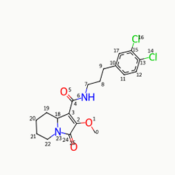 COC1=C(C(=O)NCCCc2ccc(Cl)c(Cl)c2)C2CCCCN2C1=O